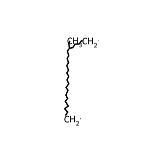 [CH2]CCCCCCCCCCCCCCCCCCCC(CC)CCCC[CH2]